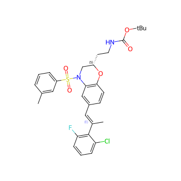 C/C(=C\c1ccc2c(c1)N(S(=O)(=O)c1cccc(C)c1)C[C@H](CCNC(=O)OC(C)(C)C)O2)c1c(F)cccc1Cl